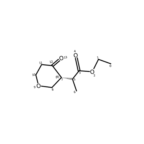 CCOC(=O)C(C)[C@@H]1COCCC1=O